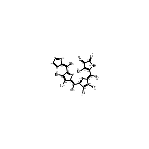 CCC(C1=NC(=C(CC)C2=NC(=C(CC)C3=C(CC)C(=O)C(=O)N3)C(CC)=C2CC)C(CC)=C1CC)=C1C=CC=N1